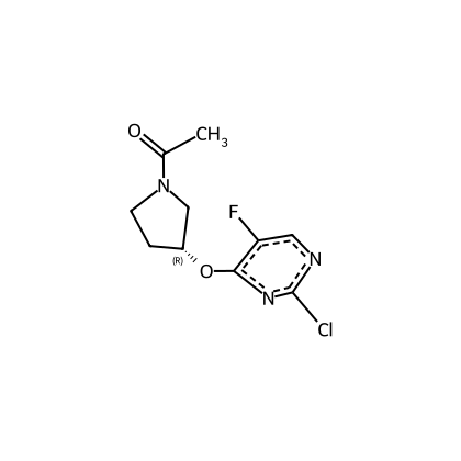 CC(=O)N1CC[C@@H](Oc2nc(Cl)ncc2F)C1